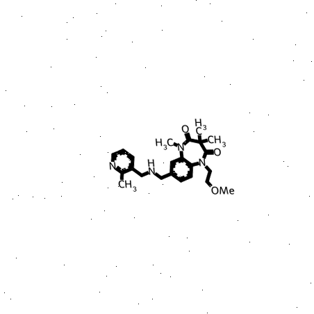 COCCN1C(=O)C(C)(C)C(=O)N(C)c2cc(CNCc3cccnc3C)ccc21